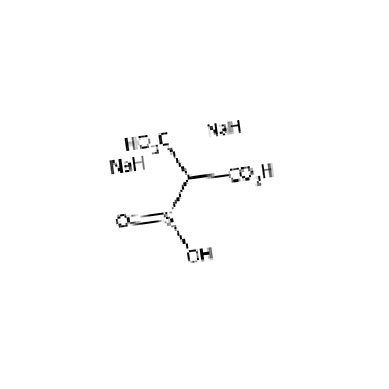 O=C(O)C(C(=O)O)S(=O)O.[NaH].[NaH]